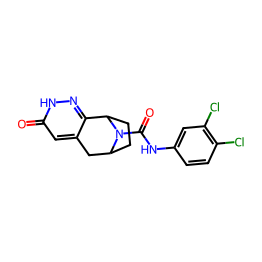 O=C(Nc1ccc(Cl)c(Cl)c1)N1C2CCC1c1n[nH]c(=O)cc1C2